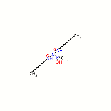 CCCCCCCCCCCCCCNC(=O)CCN(CCC(=O)NCCCCCCCCCCCCCC)CCN(CCC)CCO